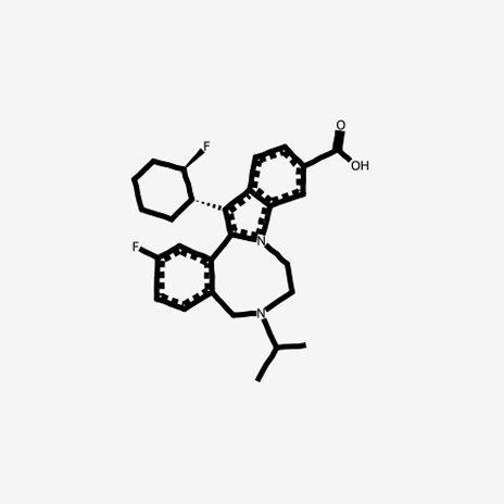 CC(C)N1CCn2c(c([C@@H]3CCCC[C@H]3F)c3ccc(C(=O)O)cc32)-c2cc(F)ccc2C1